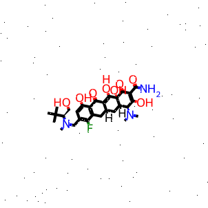 CN(C)[C@@H]1C(O)=C(C(N)=O)C(=O)[C@@]2(O)C(O)=C3C(=O)c4c(O)cc(CN(C)[C@H](CO)C(C)(C)C)c(F)c4C[C@H]3C[C@@H]12